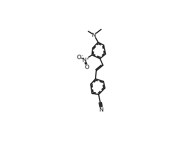 CN(C)c1ccc(C=Cc2ccc(C#N)cc2)c([N+](=O)[O-])c1